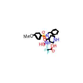 COc1ccc(S(=O)(=O)N(Cc2ccccc2)C2(C(=O)NO)CCNCC2)cc1.O=C(O)C(F)(F)F